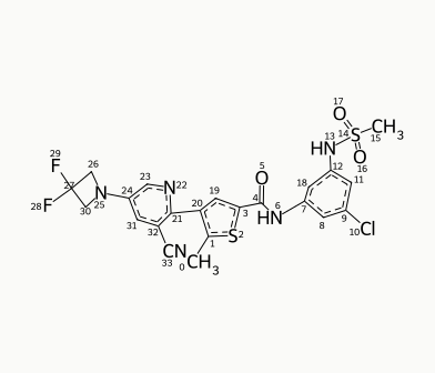 Cc1sc(C(=O)Nc2cc(Cl)cc(NS(C)(=O)=O)c2)cc1-c1ncc(N2CC(F)(F)C2)cc1C#N